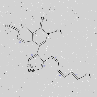 C=C/C=C\C1=C(C)C(=C)N(C)C=C1C(=C/C)/C(/C=C\C=C/C=C/C)=C\NC